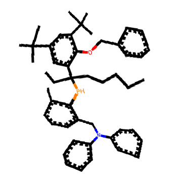 CCCCCC(CC)(Pc1c(C)cccc1CN(c1ccccc1)c1ccccc1)c1cc(C(C)(C)C)cc(C(C)(C)C)c1OCc1ccccc1